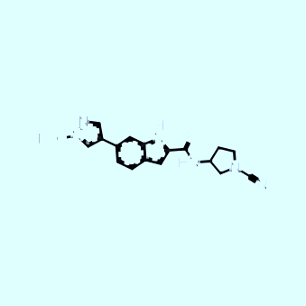 Cn1cc(-c2ccc3cc(C(=O)NC4CCN(C#N)C4)[nH]c3c2)cn1